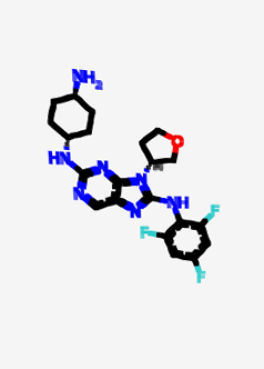 N[C@H]1CC[C@H](Nc2ncc3nc(Nc4c(F)cc(F)cc4F)n([C@@H]4CCOC4)c3n2)CC1